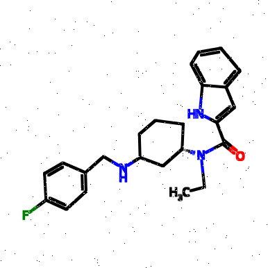 CCN(C(=O)c1cc2ccccc2[nH]1)[C@H]1CCCC(NCc2ccc(F)cc2)C1